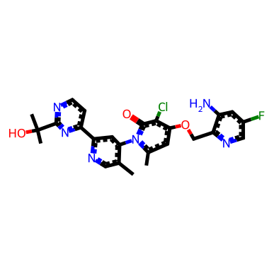 Cc1cnc(-c2ccnc(C(C)(C)O)n2)cc1-n1c(C)cc(OCc2ncc(F)cc2N)c(Cl)c1=O